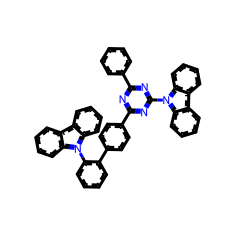 c1ccc(-c2nc(-c3ccc(-c4ccccc4-n4c5ccccc5c5ccccc54)cc3)nc(-n3c4ccccc4c4ccccc43)n2)cc1